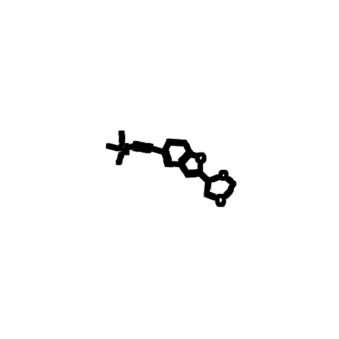 C[Si](C)(C)C#Cc1ccc2oc(C3COCCO3)cc2c1